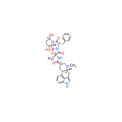 CN1C[C@H](C(=O)N[C@]2(C)O[C@@]3(O)[C@@H]4CC[C@@H](O)N4C(=O)[C@H](Cc4ccccc4)N3C2=O)CC2c3cccc4[nH]cc(c34)C[C@H]21